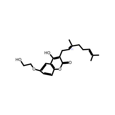 CC(C)=CCC/C(C)=C/Cc1c(O)c2cc(OCCO)ccc2oc1=O